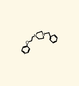 [c]1ccc(OCCN2CCN(Cc3ccccc3)CC2)cc1